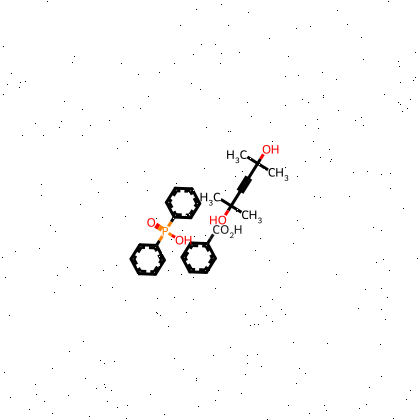 CC(C)(O)C#CC(C)(C)O.O=C(O)c1ccccc1.O=P(O)(c1ccccc1)c1ccccc1